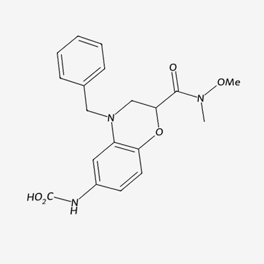 CON(C)C(=O)C1CN(Cc2ccccc2)c2cc(NC(=O)O)ccc2O1